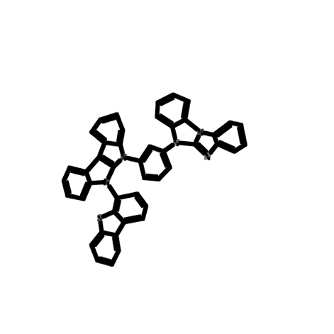 c1cc(-n2c3ccccc3c3c4ccccc4n(-c4cccc5c4sc4ccccc45)c32)cc(-n2c3ccccc3n3c4ccccc4nc23)c1